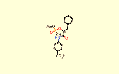 COP(C)(=O)O[C@@H](Cc1ccccc1)C(=O)Nc1ccc(C(=O)O)cc1